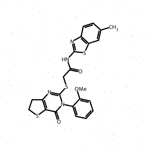 COc1ccccc1-n1c(SCC(=O)Nc2nc3ccc(C)cc3s2)nc2c(c1=O)SCC2